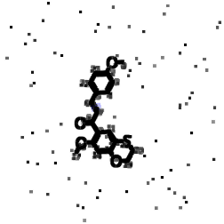 COc1ccc(/C=C/C(=O)c2cc3c(cc2OC)OCCS3)cc1